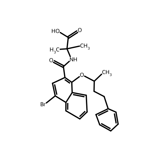 CC(CCc1ccccc1)Oc1c(C(=O)NC(C)(C)C(=O)O)cc(Br)c2ccccc12